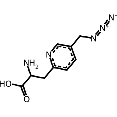 [N-]=[N+]=NCc1ccc(CC(N)C(=O)O)nc1